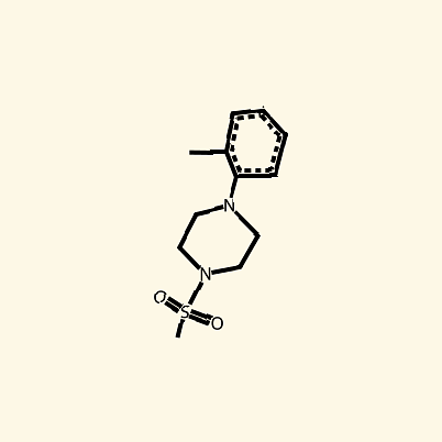 Cc1c[c]ccc1N1CCN(S(C)(=O)=O)CC1